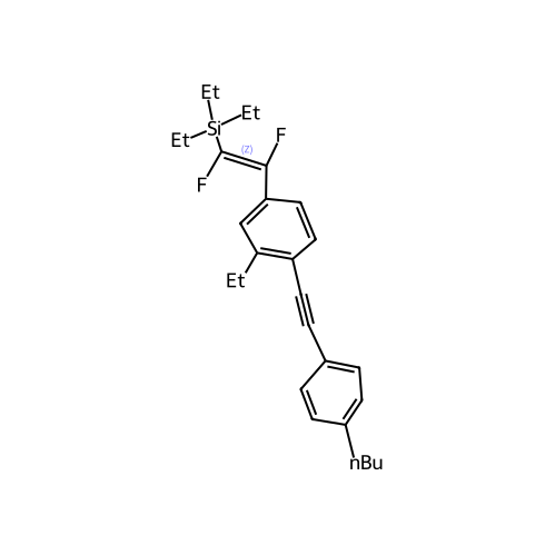 CCCCc1ccc(C#Cc2ccc(/C(F)=C(\F)[Si](CC)(CC)CC)cc2CC)cc1